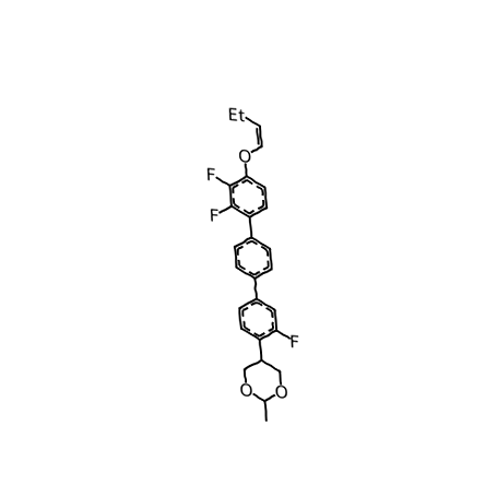 CC/C=C\Oc1ccc(-c2ccc(-c3ccc(C4COC(C)OC4)c(F)c3)cc2)c(F)c1F